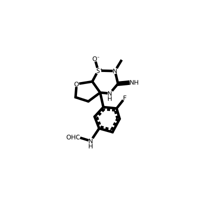 CN1C(=N)NC2(c3cc(NC=O)ccc3F)CCOC2[S+]1[O-]